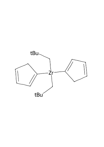 CC(C)(C)[CH2][Zr]([CH2]C(C)(C)C)([C]1=CC=CC1)[C]1=CC=CC1